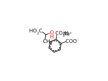 CC(O)C(=O)O.O=C([O-])c1ccccc1C(=O)O.[Na+]